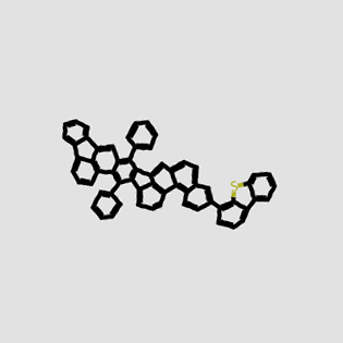 c1ccc(-c2c3cc4c5ccccc5c5cccc(c3c(-c3ccccc3)c3c6cccc7c8c(ccc9cc(-c%10cccc%11c%10sc%10ccccc%10%11)ccc98)cc(c23)c67)c54)cc1